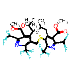 COC(=O)c1c(C(F)F)nc(C(F)(F)F)c(CSc2c(C(F)(F)F)nc(C(F)F)c(C(=O)OC)c2CC(C)C)c1CC(C)C